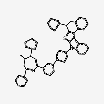 C[C@@H]1CC(c2ccccc2)=NC(c2cccc(-c3ccc(-n4c5ccccc5c5c6c(sc54)C(c4ccccc4)Cc4ccccc4-6)cc3)c2)=CC1c1ccccc1